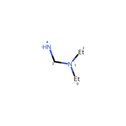 CCN(CC)C[NH]